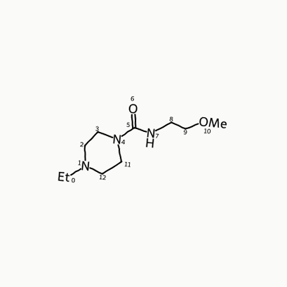 CCN1CCN(C(=O)NCCOC)CC1